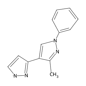 Cc1nn(-c2ccccc2)cc1C1=N[N]C=C1